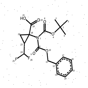 CC(C)(C)OC(=O)N(C(=O)OCc1ccccc1)C1(C(=O)O)CC1C(F)F